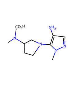 CN(C(=O)O)C1CCN(c2c(N)cnn2C)C1